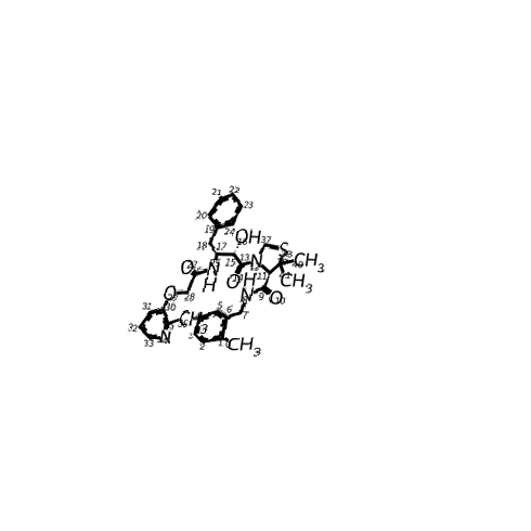 Cc1ccccc1CNC(=O)[C@H]1N(C(=O)[C@@H](O)[C@H](Cc2ccccc2)NC(=O)COc2cccnc2C)CSC1(C)C